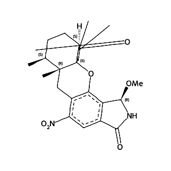 CO[C@H]1NC(=O)c2cc([N+](=O)[O-])c3c(c21)O[C@@]12CCC(=O)C(C)(C)[C@@H]1CC[C@H](C)[C@@]2(C)C3